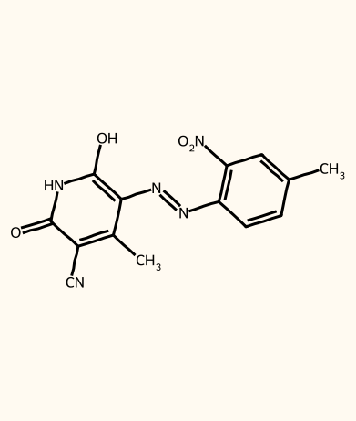 Cc1ccc(N=Nc2c(O)[nH]c(=O)c(C#N)c2C)c([N+](=O)[O-])c1